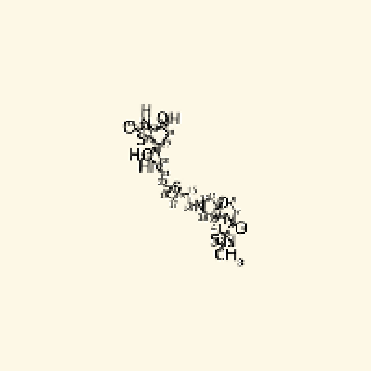 Cc1nc(C(=O)N2CCOC3(CCN(CCc4ccc(CCNC[C@H](O)c5ccc(O)c6[nH]c(=O)sc56)s4)CC3)C2)cs1